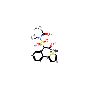 COC(=O)C(c1ccccc1-c1cccs1)S(=O)(=O)N(C)C(=O)OC